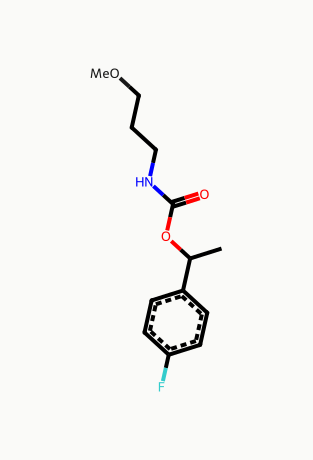 COCCCNC(=O)OC(C)c1ccc(F)cc1